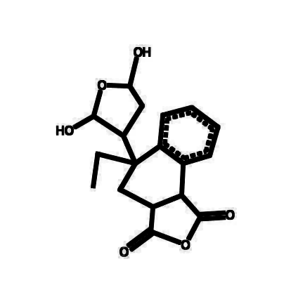 CCC1(C2CC(O)OC2O)CC2C(=O)OC(=O)C2c2ccccc21